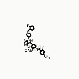 COc1cc(-c2nn(C3CCN(Cc4ccccc4F)CC3)c3ncnc(N)c23)ccc1NC(=O)c1ccc(C(F)(F)F)cc1F